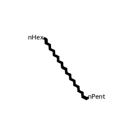 CCCCC/C=C\CCCCCCCC/C=C/CC[CH]CCCC/C=C/CCCCCC